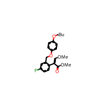 CCC(C)Oc1ccc(OCc2cc(F)ccc2C(=COC)C(=O)OC)cc1